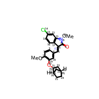 COc1ccc(/C=C2/C(=O)N(OC)c3cc(Cl)ccc32)cc1O[C@H]1C[C@@H]2CC[C@H]1C2